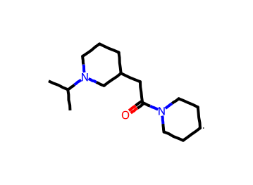 CC(C)N1CCCC(CC(=O)N2CC[CH]CC2)C1